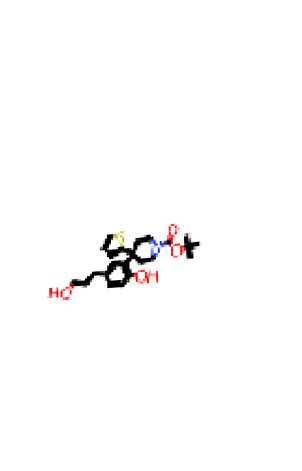 CC(C)(C)OC(=O)N1CCC(c2cccs2)(c2cc(CCCO)ccc2O)CC1